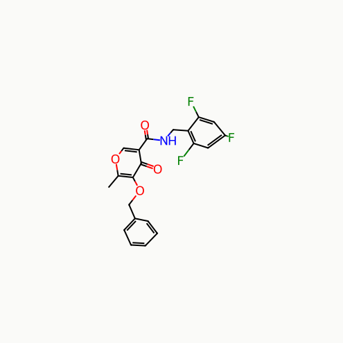 Cc1occ(C(=O)NCc2c(F)cc(F)cc2F)c(=O)c1OCc1ccccc1